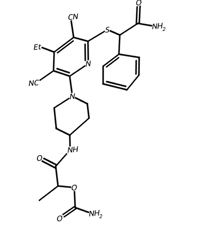 CCc1c(C#N)c(SC(C(N)=O)c2ccccc2)nc(N2CCC(NC(=O)C(C)OC(N)=O)CC2)c1C#N